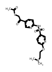 CC(=O)SCC(=O)c1ccc(NS(=O)(=O)c2ccc(OCCN(C)C)nc2)nc1